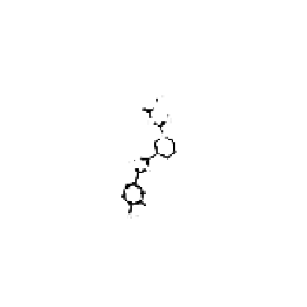 CCCCCCCCCCc1ccc(-c2noc(C3CCCN(C(=NC(=O)O)NC(=O)OC(C)(C)C)C3)n2)cc1C(F)(F)F